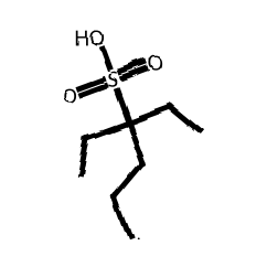 [CH2]CCC(CC)(CC)S(=O)(=O)O